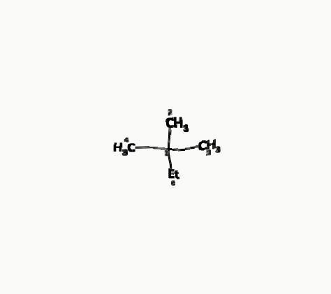 CCC(C)(C)C